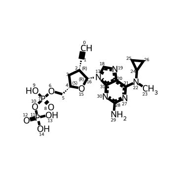 C#C[C@H]1C[C@@H](COP(=O)(O)OP(=O)(O)O)O[C@H]1n1cnc2c(N(C)C3CC3)nc(N)nc21